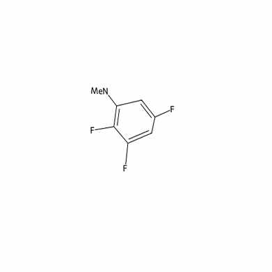 CNc1cc(F)cc(F)c1F